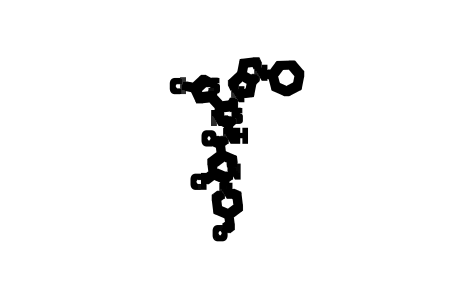 O=CC1CCN(c2ncc(C(=O)Nc3nc(-c4cc(Cl)cs4)c(N4CC5CCN(C6CCCCCC6)C5C4)s3)cc2Cl)CC1